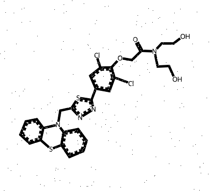 O=C(COc1c(Cl)cc(-c2nnc(CN3c4ccccc4Sc4ccccc43)s2)cc1Cl)N(CCO)CCO